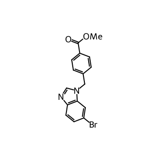 COC(=O)c1ccc(Cn2cnc3ccc(Br)cc32)cc1